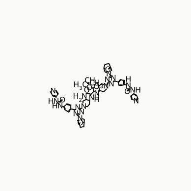 CC(C)(C)OC(=O)C(NC1CCN(c2nc(-c3ccc(NC(=O)Nc4ccncc4)cc3)nc(N3CC4CCC(C3)O4)n2)CC1)C(NC1CCN(c2nc(-c3ccc(NC(=O)Nc4ccncc4)cc3)nc(N3CC4CCC(C3)O4)n2)CC1)C(N)=O